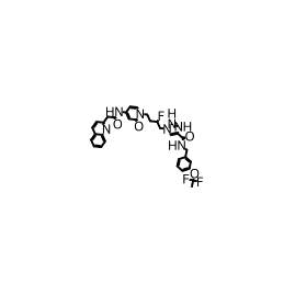 CC(F)(F)Oc1cccc(CNC(=O)C2=CN(CC(F)CCn3ccc(NC(=O)Cc4ccc5ccccc5n4)cc3=O)NN2)c1